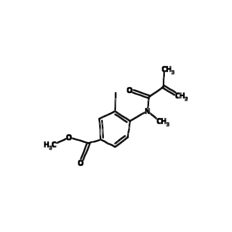 C=C(C)C(=O)N(C)c1ccc(C(=O)OC)cc1I